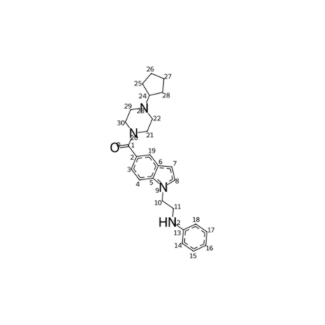 O=C(c1ccc2c(ccn2CCNc2ccccc2)c1)N1CCN(C2CCCC2)CC1